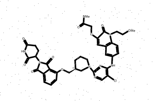 CNC(=O)COc1cc2cc(Nc3nc(N4CCC[C@H](COc5cccc6c5C(=O)N(C5CCC(=O)NC5=O)C6=O)C4)ncc3Cl)ccc2n(CCOC)c1=O